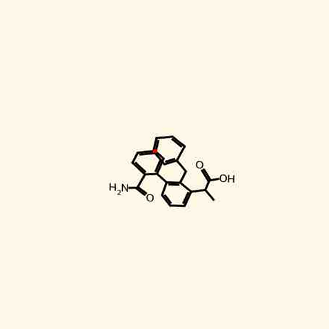 CC(C(=O)O)c1cccc(-c2ccccc2C(N)=O)c1Cc1ccccc1